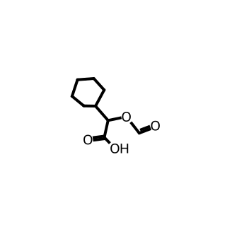 O=COC(C(=O)O)C1CCCCC1